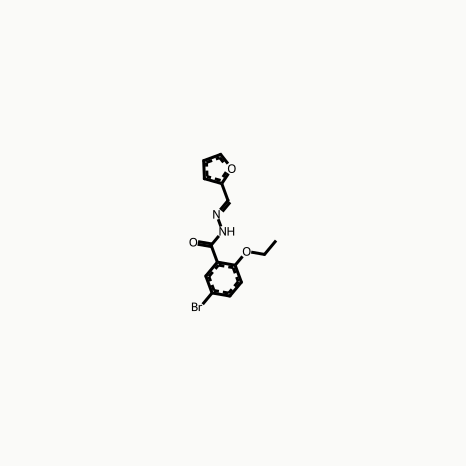 CCOc1ccc(Br)cc1C(=O)N/N=C/c1ccco1